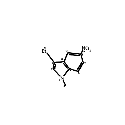 CCc1cn(C)c2ccc([N+](=O)[O-])cc12